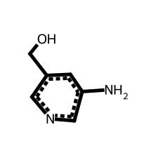 Nc1cncc(CO)c1